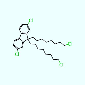 ClCCCCCCCCC1(CCCCCCCCCl)c2cc(Cl)ccc2-c2ccc(Cl)cc21